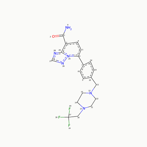 NC(=O)c1ccc(-c2ccc(CN3CCN(CC(F)(F)F)CC3)cc2)n2n[c]nc12